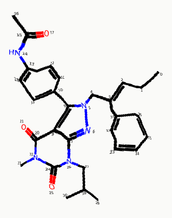 CCC=C(Cn1nc2c(c1-c1ccc(NC(C)=O)cc1)c(=O)n(C)c(=O)n2CC(C)C)c1ccccc1